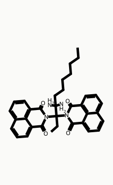 CCCCCCCC(N)(N)C(CC)(N1C(=O)c2cccc3cccc(c23)C1=O)N1C(=O)c2cccc3cccc(c23)C1=O